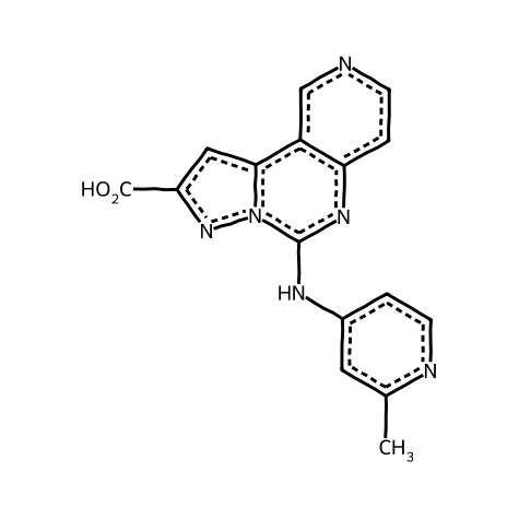 Cc1cc(Nc2nc3ccncc3c3cc(C(=O)O)nn23)ccn1